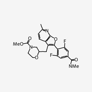 CNC(=O)c1cc(F)c(-c2oc3nc(C)ccc3c2CC2CN(C(=O)OC)CCO2)c(F)c1